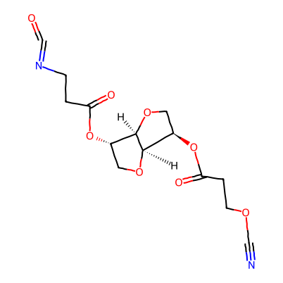 N#COCCC(=O)O[C@@H]1CO[C@H]2[C@@H]1OC[C@@H]2OC(=O)CCN=C=O